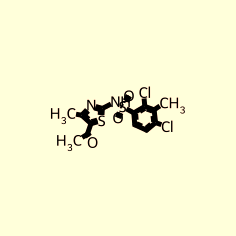 CC(=O)c1sc(NS(=O)(=O)c2ccc(Cl)c(C)c2Cl)nc1C